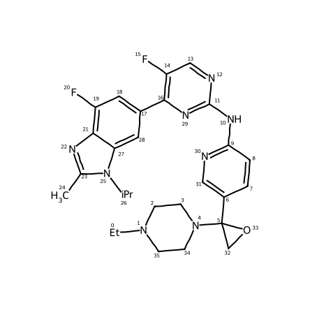 CCN1CCN(C2(c3ccc(Nc4ncc(F)c(-c5cc(F)c6nc(C)n(C(C)C)c6c5)n4)nc3)CO2)CC1